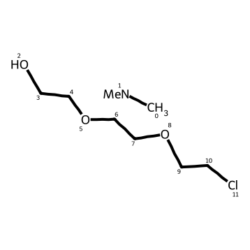 CNC.OCCOCCOCCCl